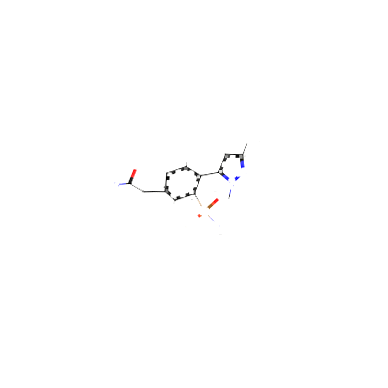 Cn1nc(C(F)(F)F)cc1-c1ccc(CC(N)=O)cc1S(N)(=O)=O